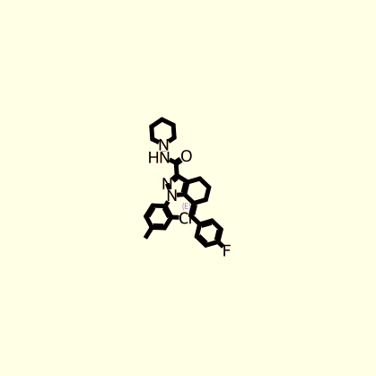 Cc1ccc(-n2nc(C(=O)NN3CCCCC3)c3c2/C(=C/c2ccc(F)cc2)CCC3)c(Cl)c1